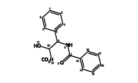 O=C(NC(c1ccccc1)C(O)C(=O)O)c1ccccc1